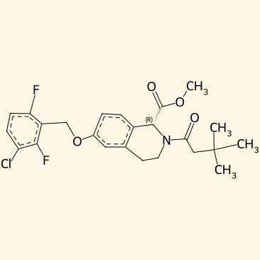 COC(=O)[C@H]1c2ccc(OCc3c(F)ccc(Cl)c3F)cc2CCN1C(=O)CC(C)(C)C